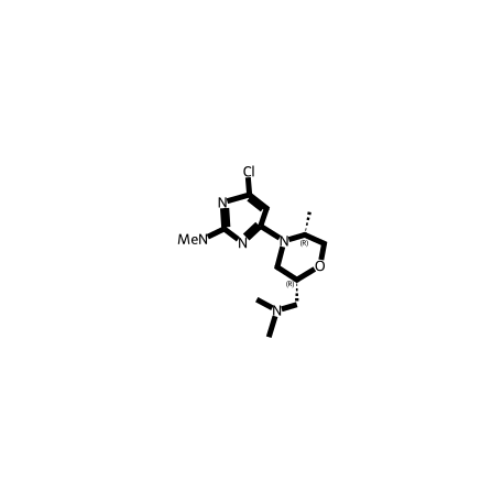 CNc1nc(Cl)cc(N2C[C@@H](CN(C)C)OC[C@H]2C)n1